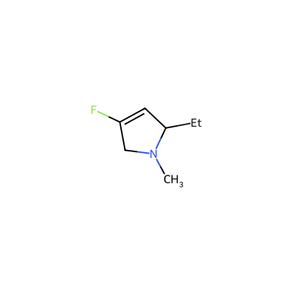 CCC1C=C(F)CN1C